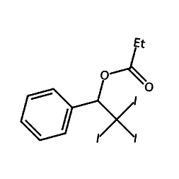 CCC(=O)OC(c1ccccc1)C(I)(I)I